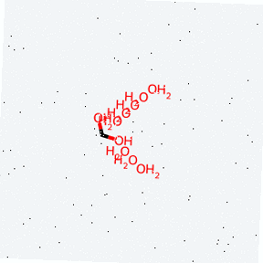 O.O.O.O.O.O.O.O.OCO